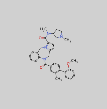 COc1ccccc1-c1ccc(C(=O)N2Cc3ccc(C(=O)N(C)C4CCN(C)C4)n3Cc3ccccc32)cc1C